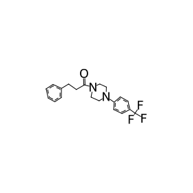 O=C(CCc1ccccc1)N1CCN(c2ccc(C(F)(F)F)cc2)CC1